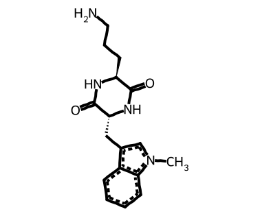 Cn1cc(C[C@H]2NC(=O)[C@H](CCCN)NC2=O)c2ccccc21